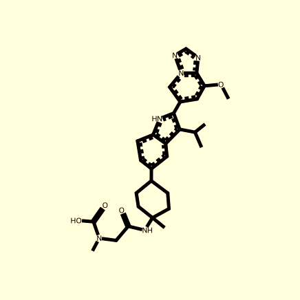 COc1cc(-c2[nH]c3ccc(C4CCC(C)(NC(=O)CN(C)C(=O)O)CC4)cc3c2C(C)C)cn2ncnc12